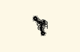 CS(=O)(=O)OC(CNC(=O)OCc1ccccc1)CC(=O)OCc1ccccc1